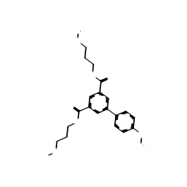 CCCCOCCCOC(=O)c1cc(C(=O)OCCCOCCCC)cc(-c2ccc(OCCCC)cc2)c1